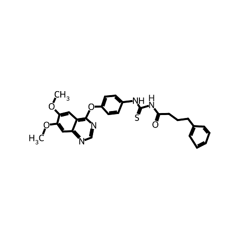 COc1cc2ncnc(Oc3ccc(NC(=S)NC(=O)CCCc4ccccc4)cc3)c2cc1OC